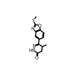 CSc1nc2cc(C3=NNC(=O)CC3C)ccc2o1